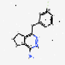 Nc1nnc(Cc2cccc(F)c2)c2c1CCC2